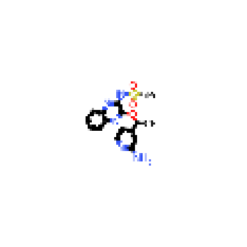 CCCS(=O)(=O)Nc1nc2ccccc2nc1OC(c1ccnc(N)c1)C(F)(F)F